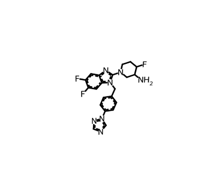 NC1CN(c2nc3cc(F)c(F)cc3n2Cc2ccc(-n3cncn3)cc2)CCC1F